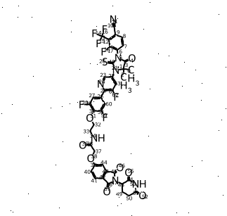 CC1(C)C(=O)N(c2ccc(C#N)c(C(F)(F)F)c2F)C(=S)N1c1cnc(-c2cc(F)c(OCCNC(=O)COc3ccc4c(c3)C(=O)N(C3CCC(=O)NC3=O)C4=O)c(F)c2)c(F)c1